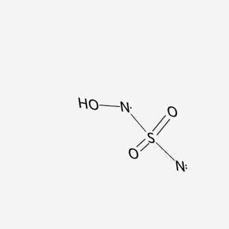 [N]S(=O)(=O)[N]O